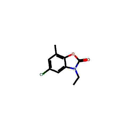 CCn1c(=O)oc2c(C)cc(Cl)cc21